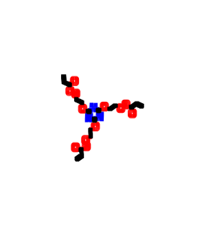 C=CC(=O)OOCCOc1nc(OCCOOC(=O)C=C)nc(OCCOOC(=O)C=C)n1